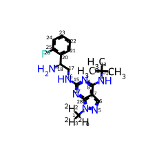 [2H]C([2H])([2H])n1ncc2c(NC(C)(C)C)nc(NC[C@@H](N)c3ccccc3F)nc21